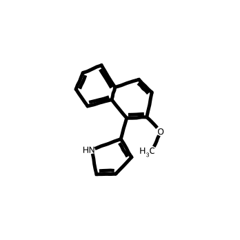 COc1ccc2ccccc2c1-c1ccc[nH]1